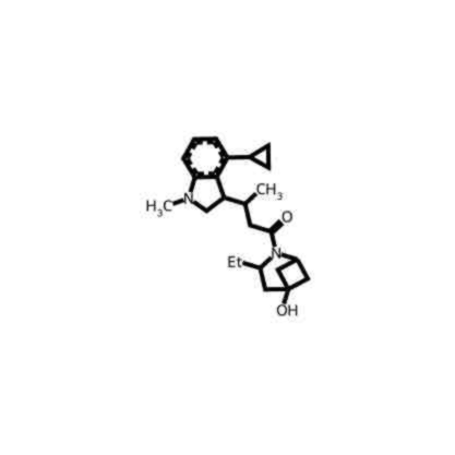 CCC1CC2(O)CC(C2)N1C(=O)CC(C)C1CN(C)c2cccc(C3CC3)c21